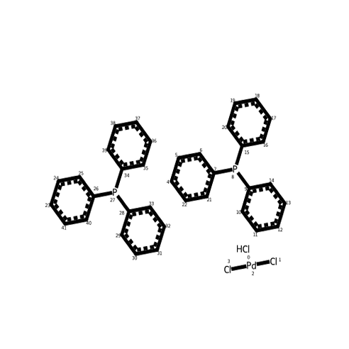 Cl.[Cl][Pd][Cl].c1ccc(P(c2ccccc2)c2ccccc2)cc1.c1ccc(P(c2ccccc2)c2ccccc2)cc1